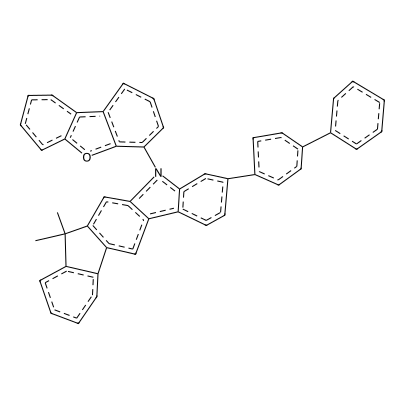 CC1(C)c2ccccc2-c2cc3c4ccc(-c5ccc(-c6ccccc6)cc5)cc4n(-c4cccc5c4oc4ccccc45)c3cc21